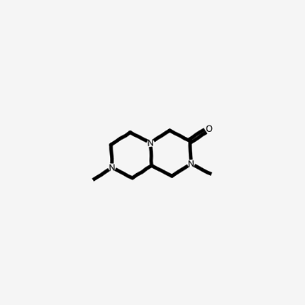 CN1CCN2CC(=O)N(C)CC2C1